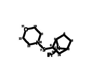 CC(C)N1C2CCC1C(SN1CCOCC1)C2